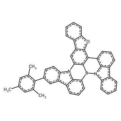 Cc1cc(C)c(-c2ccc3c(c2)c2cccc4c2n3-c2cc3c(oc5ccccc53)c3c2B4n2c4ccccc4c4cccc-3c42)c(C)c1